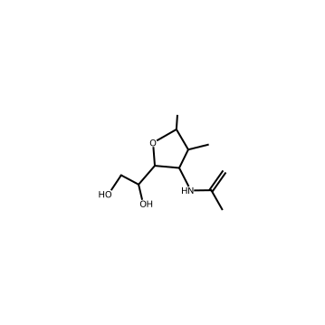 C=C(C)NC1C(C)C(C)OC1C(O)CO